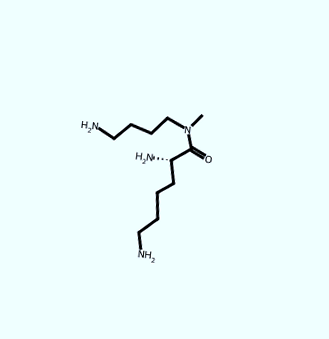 CN(CCCCN)C(=O)[C@@H](N)CCCCN